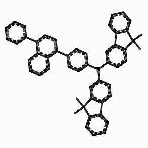 CC1(C)c2ccccc2-c2cc(N(c3ccc(-c4ccc(-c5ccccc5)c5ccccc45)cc3)c3ccc4c(c3)C(C)(C)c3ccccc3-4)ccc21